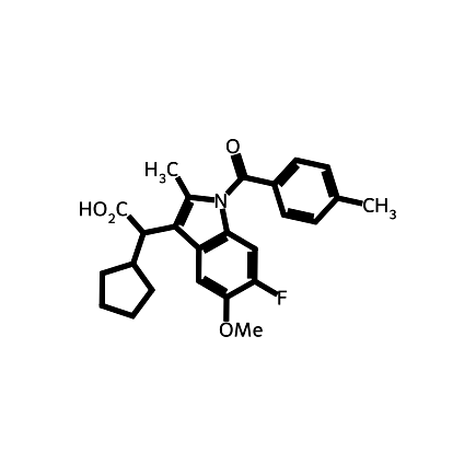 COc1cc2c(C(C(=O)O)C3CCCC3)c(C)n(C(=O)c3ccc(C)cc3)c2cc1F